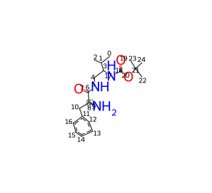 CC(C)C(CNC(=O)[C@@H](N)Cc1ccccc1)NC(=O)OC(C)(C)C